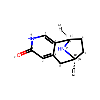 O=c1cc2c(c[nH]1)[C@H]1CC[C@@H](C2)N1